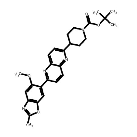 COc1cc2nc(C)oc2cc1-c1ccc2nc(C3CCN(C(=O)OC(C)(C)C)CC3)ccc2n1